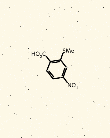 CSc1cc([N+](=O)[O-])ccc1C(=O)O